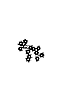 c1ccc(-c2nc(-n3c4ccc(-c5ccc6ccccc6c5)cc4c4c5cc6c7ccc(N(c8ccccc8)c8ccccc8)cc7c7ccccc7c6cc5ccc43)nc(-c3ccccc3)c2-c2ccccc2)cc1